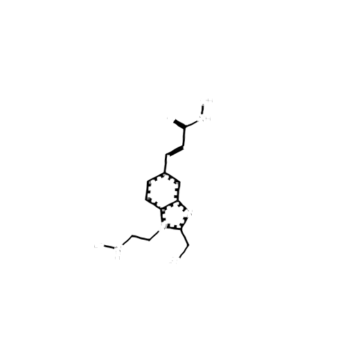 CCNCCn1c(CC(C)C)nc2cc(C=CC(=O)NO)ccc21